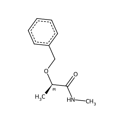 CNC(=O)[C@@H](C)OCc1ccccc1